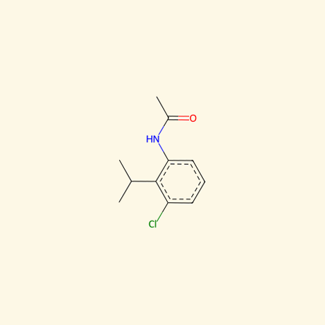 CC(=O)Nc1cccc(Cl)c1C(C)C